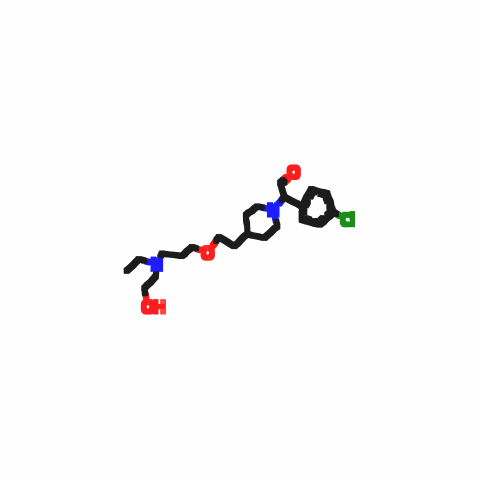 CCN(CCO)CCCOCCC1CCN(C(C=O)c2ccc(Cl)cc2)CC1